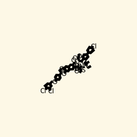 CCN(C(C)=O)c1nc(S(=O)(=O)N2Cc3cc4c(cc3CC2C(=O)NC(Cc2ccc(-c3ccc(Cl)cc3)cc2)C(=O)OC)OCC(c2ccc(OCc3ccc(Cl)c(Cl)c3)cc2)O4)c(C)s1